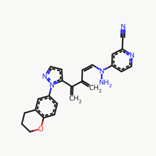 C=C(/C=C\N(N)c1ccnc(C#N)c1)C(=C)c1ccnn1-c1ccc2c(c1)CCCO2